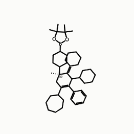 CC1(C)OB(C2CCC([C@]3(C)CC(C4CCCCCC4)=C(c4ccccc4)C(C4CCCCC4)C3=C3CCCCC3)CC2)OC1(C)C